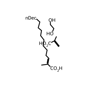 C=C(C)C(=O)O.CCCCCCCCCCCCCCCCCCC=C(C)C(=O)O.OCCO